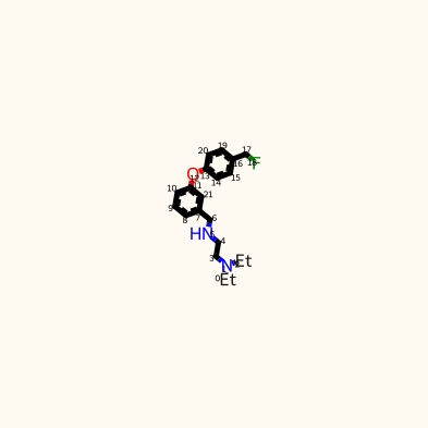 CCN(CC)CCNCc1cccc(Oc2ccc(CF)cc2)c1